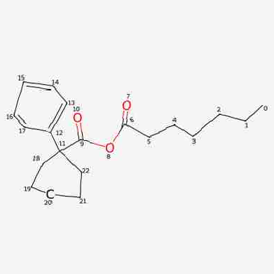 CCCCCCC(=O)OC(=O)C1(c2ccccc2)CCCCC1